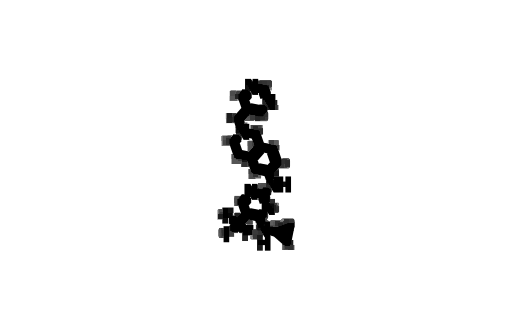 FC(F)(F)c1cnc(Nc2ccc3c(c2)CCN(Cc2cncnc2)C3)nc1NC1CC1